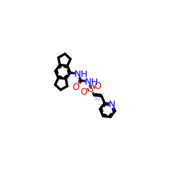 O=C(Nc1c2c(cc3c1CCC3)CCC2)NS(=O)(=O)/C=C/c1ccccn1